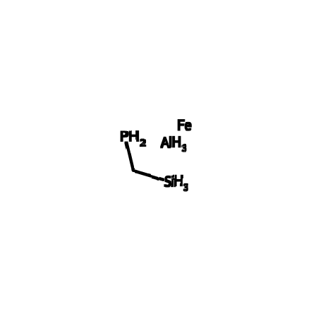 [AlH3].[Fe].[SiH3]CP